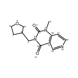 Cn1c(=O)n(CC2CCOC2)c(=O)c2cnccc21